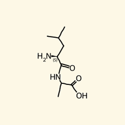 CC(C)C[C@H](N)C(=O)NC(C)C(=O)O